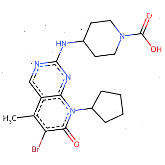 Cc1c(Br)c(=O)n(C2CCCC2)c2nc(NC3CCN(C(=O)O)CC3)ncc12